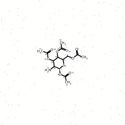 CC(=O)OCC1S[C@@H](OC(C)=O)C(N)C(OC(C)=O)C1OC(C)=O